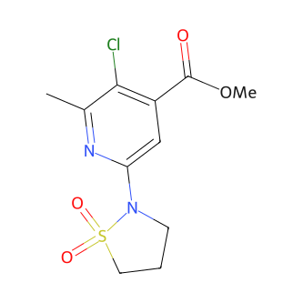 COC(=O)c1cc(N2CCCS2(=O)=O)nc(C)c1Cl